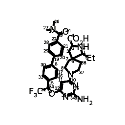 CCC1NC(C(=O)O)CC12CCN(c1cc(O[C@H](c3ccc(-c4ccc(C(=O)N(C)C)cc4)cc3)C(F)(F)F)nc(N)n1)CC2